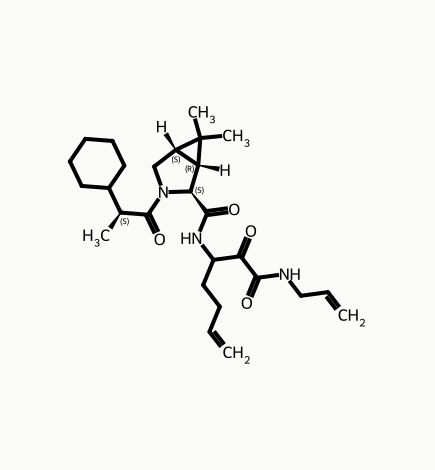 C=CCCC(NC(=O)[C@@H]1[C@@H]2[C@H](CN1C(=O)[C@@H](C)C1CCCCC1)C2(C)C)C(=O)C(=O)NCC=C